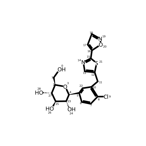 OC[C@H]1O[C@@H](c2ccc(Cl)c(Cc3cnc(-c4ccno4)s3)c2)[C@H](O)[C@@H](O)[C@@H]1O